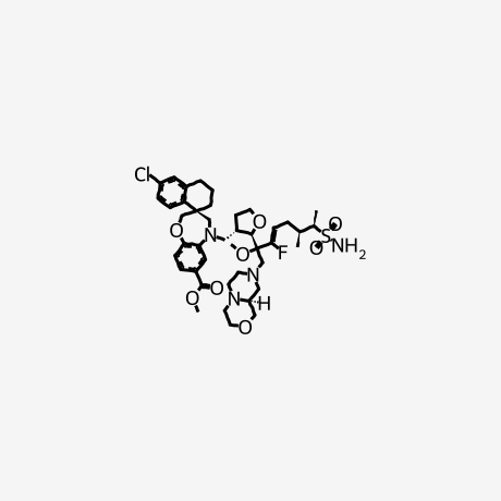 COC(=O)c1ccc2c(c1)N(C[C@@H]1CCO[C@H]1C(CN1CCN3CCOC[C@@H]3C1)(OC)/C(F)=C/C[C@H](C)[C@@H](C)S(N)(=O)=O)C[C@@]1(CCCc3cc(Cl)ccc31)CO2